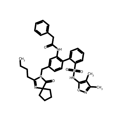 CCCCC1=NC2(CCCC2)C(=O)N1Cc1ccc(-c2ccccc2S(=O)(=O)Nc2onc(C)c2C)c(NC(=O)Cc2ccccc2)c1